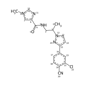 CC(CNC(=O)c1cn(C)cn1)n1ccc(-c2ccc(C#N)c(Cl)c2)n1